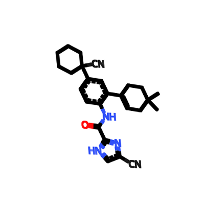 CC1(C)CC=C(c2cc(C3(C#N)CCCCC3)ccc2NC(=O)c2nc(C#N)c[nH]2)CC1